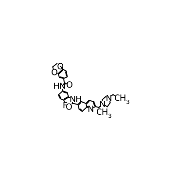 CCN1CCN(C(C)c2ccc3cc(C(=O)Nc4cc(NC(=O)c5ccc6c(c5)OCCO6)ccc4F)ccc3n2)CC1